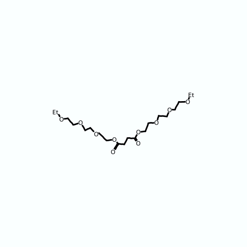 CCOCCOCCOCCOC(=O)CCC(=O)OCCOCCOCCOCC